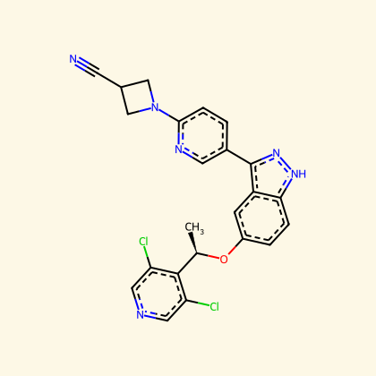 C[C@@H](Oc1ccc2[nH]nc(-c3ccc(N4CC(C#N)C4)nc3)c2c1)c1c(Cl)cncc1Cl